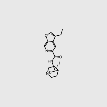 CCc1coc2cnc(C(=O)N[C@@H]3CN4CCC3CC4)cc12